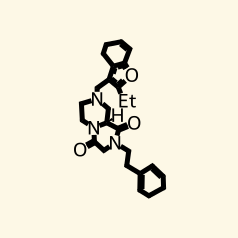 CCc1oc2c(c1CN1CCN3C(=O)CN(CCC4=CCCC=C4)C(=O)[C@@H]3C1)CCC=C2